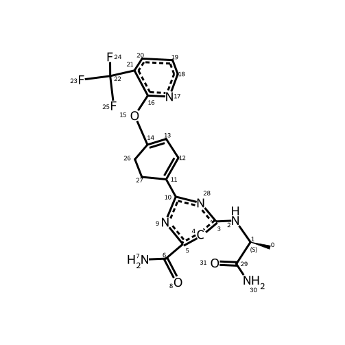 C[C@H](Nc1cc(C(N)=O)nc(C2=CC=C(Oc3ncccc3C(F)(F)F)CC2)n1)C(N)=O